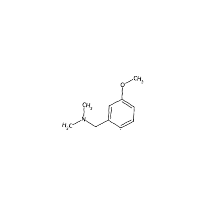 COc1cc[c]c(CN(C)C)c1